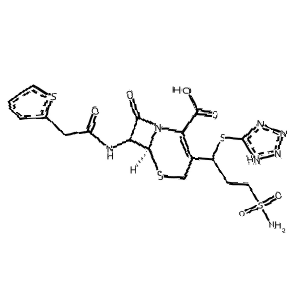 NS(=O)(=O)CCC(Sc1nnn[nH]1)C1=C(C(=O)O)N2C(=O)C(NC(=O)Cc3cccs3)[C@@H]2SC1